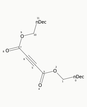 CCCCCCCCCCCOC(=O)C#CC(=O)OCCCCCCCCCCC